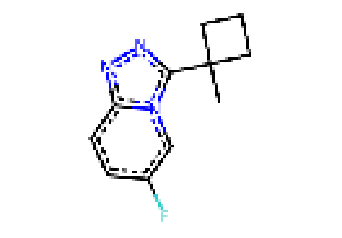 CC1(c2nnc3ccc(F)cn23)CCC1